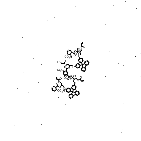 C=CC(=O)OCC(COc1ccc(C2(c3ccc(OCC(COC(=O)C=C)C(CC)(CC)OC(=O)c4cc(C(=O)OC(COC(=O)CS)COc5ccc(C6(c7ccc(OCC(COC(=O)C=C)C(CC)(CC)OC(=O)C8CC=CCC8C(=O)O)cc7)c7ccccc7-c7ccccc76)cc5)c(C(=O)O)cc4C(=O)O)cc3)c3ccccc3-c3ccccc32)cc1)OC(=O)C1CC=CCC1C(=O)O